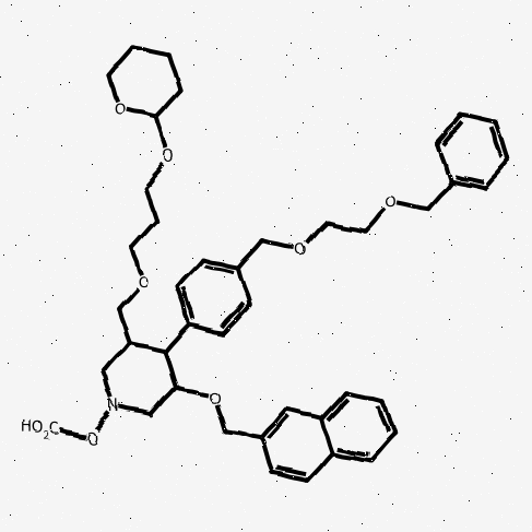 O=C(O)ON1CC(COCCCOC2CCCCO2)C(c2ccc(COCCOCc3ccccc3)cc2)C(OCc2ccc3ccccc3c2)C1